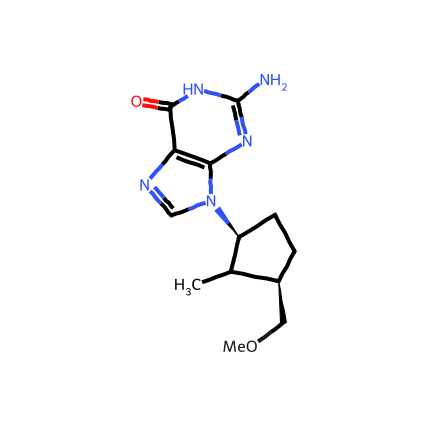 COC[C@@H]1CC[C@H](n2cnc3c(=O)[nH]c(N)nc32)C1C